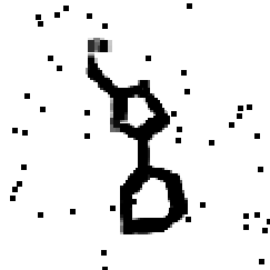 CC[C@@H](C)[CH]c1nc(-c2ccccc2)cs1